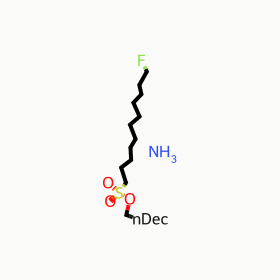 CCCCCCCCCCCOS(=O)(=O)CCCCCCCCCCCF.N